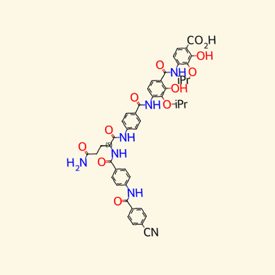 CC(C)Oc1c(NC(=O)c2ccc(NC(=O)c3ccc(NC(=O)[C@H](CCC(N)=O)NC(=O)c4ccc(NC(=O)c5ccc(C#N)cc5)cc4)cc3)c(OC(C)C)c2O)ccc(C(=O)O)c1O